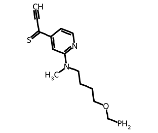 C#CC(=S)c1ccnc(N(C)CCCCOCP)c1